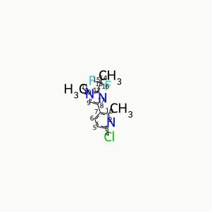 Cc1nc(Cl)ccc1-c1cn(C)c(C(C)(F)F)n1